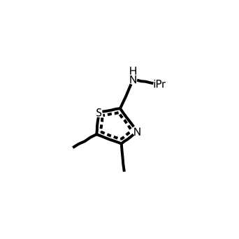 Cc1nc(NC(C)C)sc1C